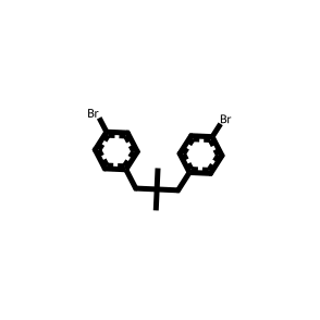 CC(C)(Cc1ccc(Br)cc1)Cc1ccc(Br)cc1